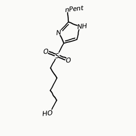 CCCCCc1nc(S(=O)(=O)CCCCO)c[nH]1